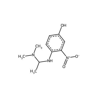 CC(Nc1ccc(O)cc1[N+](=O)[O-])N(C)C